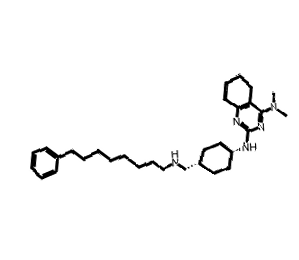 CN(C)c1nc(N[C@H]2CC[C@@H](CNCCCCCCCCc3ccccc3)CC2)nc2c1CCCC2